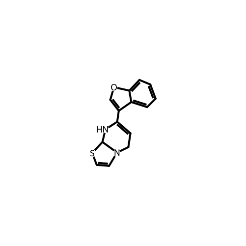 C1=CN2CC=C(c3coc4ccccc34)NC2S1